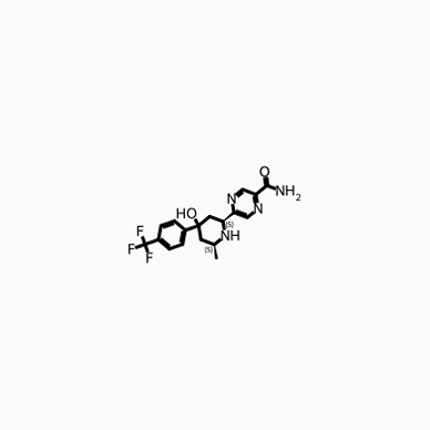 C[C@H]1CC(O)(c2ccc(C(F)(F)F)cc2)C[C@@H](c2cnc(C(N)=O)cn2)N1